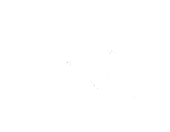 CCc1cccc(CC)c1-c1cc(OC)c(CN(Cc2ccccc2)CC2CCCCC2)c(C)n1